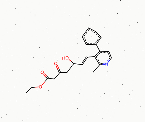 CCOC(=O)CC(=O)CC(O)/C=C/c1c(-c2ccccc2)ccnc1C